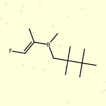 CB(CC(C)(C)C(C)(C)C)/C(C)=C/F